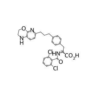 O=C(N[C@@H](Cc1ccc(CCCc2ccc3c(n2)OCCN3)cc1)C(=O)O)c1c(Cl)cccc1Cl